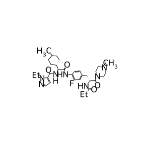 CCC(=O)N[C@H](Cc1ccc(NC(=O)[C@@H](NC(=O)c2ccnn2CC)[C@H]2CC[C@H](C)CC2)c(F)c1)C(=O)N1CCN(C)CC1